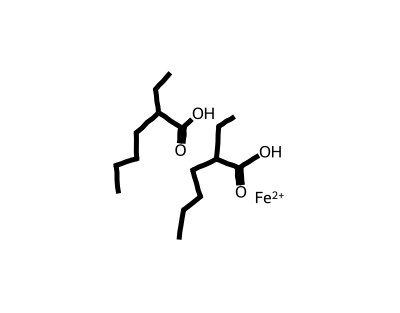 CCCCC(CC)C(=O)O.CCCCC(CC)C(=O)O.[Fe+2]